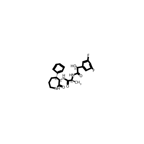 C[C@H](NC(=O)[C@H](O)c1cc(F)cc(F)c1)C(=O)N[C@@H]1C(=O)NCCC[C@@H]1c1ccccc1